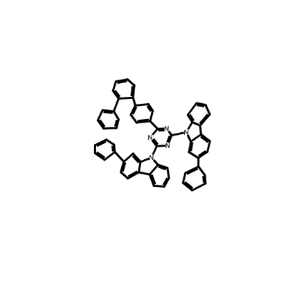 c1ccc(-c2ccc3c4ccccc4n(-c4nc(-c5ccc(-c6ccccc6-c6ccccc6)cc5)nc(-n5c6ccccc6c6ccc(-c7ccccc7)cc65)n4)c3c2)cc1